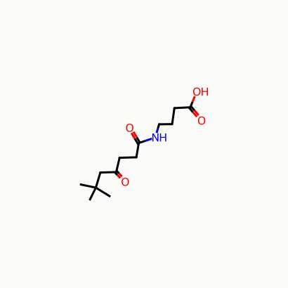 CC(C)(C)CC(=O)CCC(=O)NCCCC(=O)O